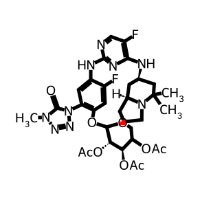 CC(=O)OC1COC(Oc2cc(F)c(Nc3ncc(F)c(N[C@@H]4C[C@@H]5CCCN5C(C)(C)C4)n3)cc2-n2nnn(C)c2=O)[C@@H](OC(C)=O)[C@@H]1OC(C)=O